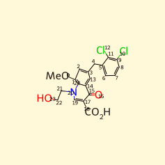 COc1cc(Cc2cccc(Cl)c2Cl)cc2c(=O)c(C(=O)O)cn(CCO)c12